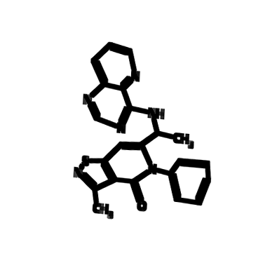 Cc1nsc2cc(C(C)Nc3ncnc4cccnc34)n(-c3ccccc3)c(=O)c12